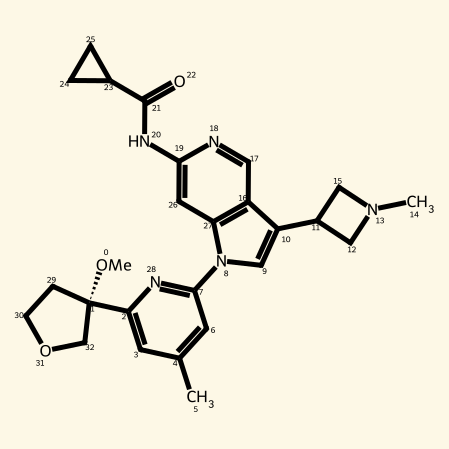 CO[C@@]1(c2cc(C)cc(-n3cc(C4CN(C)C4)c4cnc(NC(=O)C5CC5)cc43)n2)CCOC1